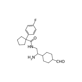 NC(CNC(=O)C1(c2ccc(F)cc2)CCCC1)C1CCC(C=O)CC1